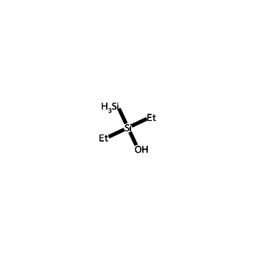 CC[Si](O)([SiH3])CC